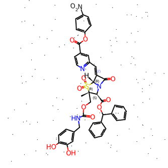 C[C@]1(COC(=O)NCc2ccc(O)c(O)c2)[C@H](C(=O)OC(c2ccccc2)c2ccccc2)N2C(=O)/C(=C/c3cc(C(=O)Oc4ccc([N+](=O)[O-])cc4)ccn3)[C@H]2S1(=O)=O